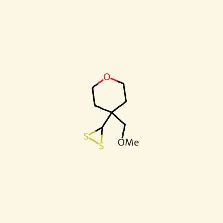 COCC1(C2SS2)CCOCC1